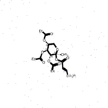 CCC(=O)O[C@H]1[C@@H](OC(=O)CC)CO[C@@](C)(OC(=O)/C=C/C(=O)O)[C@@H]1OC(=O)CC